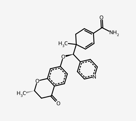 C[C@H]1CC(=O)c2ccc(O[C@H](c3ccncc3)C3(C)C=CC(C(N)=O)=CC3)cc2O1